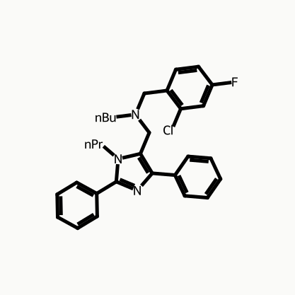 CCCCN(Cc1ccc(F)cc1Cl)Cc1c(-c2ccccc2)nc(-c2ccccc2)n1CCC